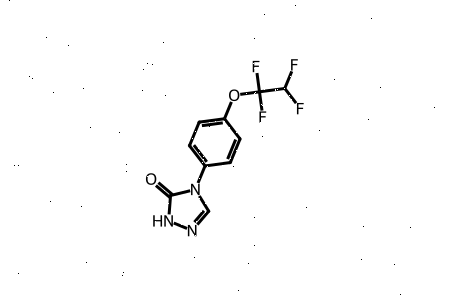 O=c1[nH]ncn1-c1ccc(OC(F)(F)C(F)F)cc1